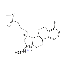 CN(C)C(=O)CCC[C@@H]1C/C(=N\O)[C@@]2(C)CCC3c4cccc(F)c4CCC3C12